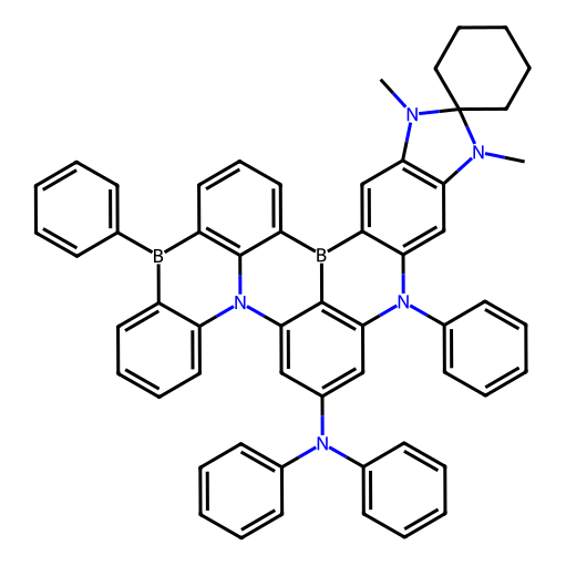 CN1c2cc3c(cc2N(C)C12CCCCC2)N(c1ccccc1)c1cc(N(c2ccccc2)c2ccccc2)cc2c1B3c1cccc3c1N2c1ccccc1B3c1ccccc1